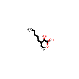 CCCCCC(CC)C(O)C(=O)O